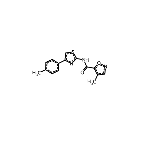 Cc1ccc(-c2csc(NC(=O)c3oncc3C)n2)cc1